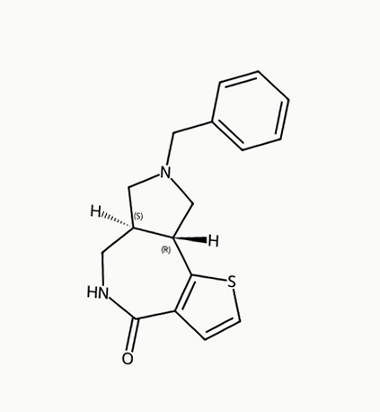 O=C1NC[C@H]2CN(Cc3ccccc3)C[C@@H]2c2sccc21